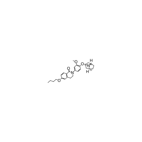 CCCCOc1ccc2c(c1)CCN(c1ccc(O[C@@H]3C[C@H]4CC[C@@H](C3)N4C)c(OC)c1)C2=O